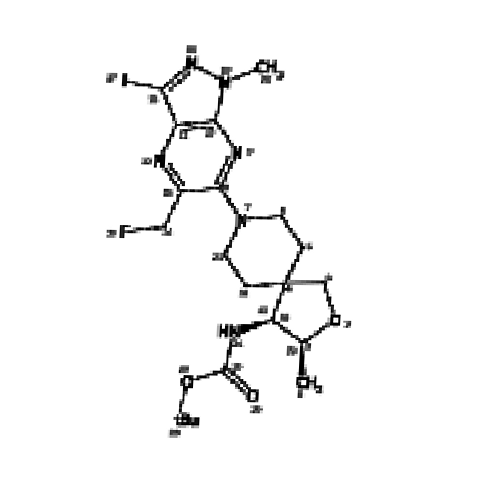 C[C@@H]1OCC2(CCN(c3nc4c(nc3CF)c(I)nn4C)CC2)[C@@H]1NC(=O)OC(C)(C)C